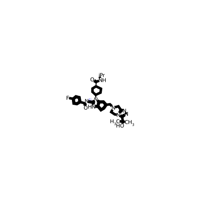 CC(C)NC(=O)[C@H]1CC[C@@H](n2/c(=N/C(=O)c3ccc(F)cc3)[nH]c3ccc(CN4CCn5c(nnc5C(C)(C)O)C4)cc32)CC1